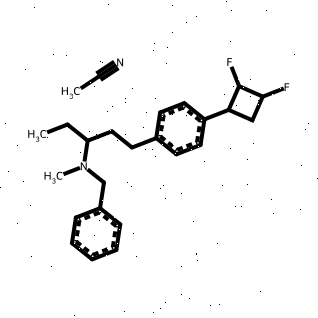 CC#N.CCC(CCc1ccc(C2CC(F)C2F)cc1)N(C)Cc1ccccc1